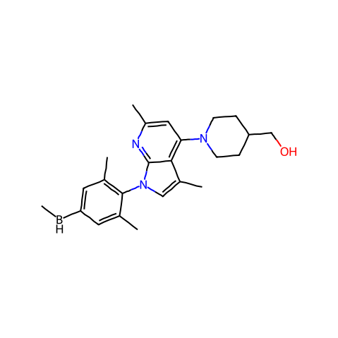 CBc1cc(C)c(-n2cc(C)c3c(N4CCC(CO)CC4)cc(C)nc32)c(C)c1